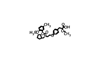 CCOC(Cc1ccc(OCCN(CC2CCCC2)C(=O)Oc2cc(C)ccc2OC)cc1)C(=O)O